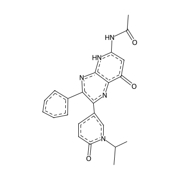 CC(=O)Nc1cc(=O)c2nc(-c3ccc(=O)n(C(C)C)c3)c(-c3ccccc3)nc2[nH]1